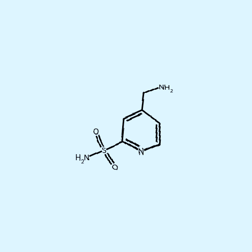 NCc1ccnc(S(N)(=O)=O)c1